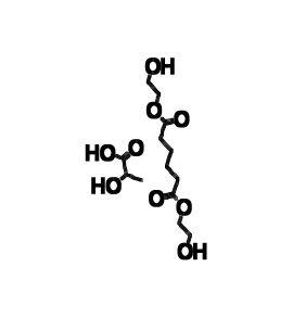 CC(O)C(=O)O.O=C(CCCCC(=O)OCCO)OCCO